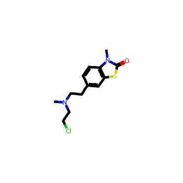 CN(CCCl)CCc1ccc2c(c1)sc(=O)n2C